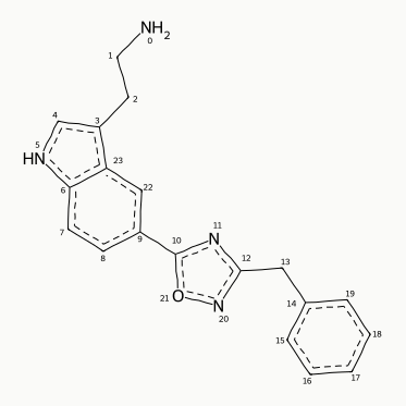 NCCc1c[nH]c2ccc(-c3nc(Cc4ccccc4)no3)cc12